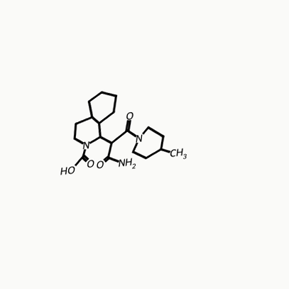 CC1CCN(C(=O)C(C(N)=O)C2C3CCCCC3CCN2C(=O)O)CC1